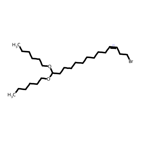 CCCCCCOC(CCCCCCCCC/C=C\CCBr)OCCCCCC